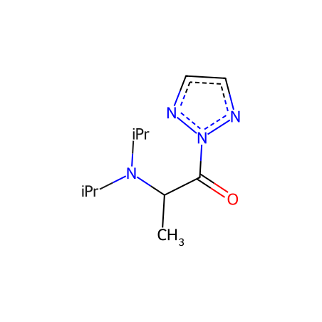 CC(C)N(C(C)C)C(C)C(=O)n1nccn1